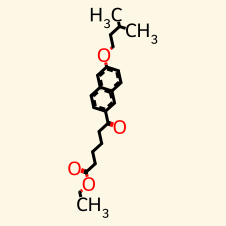 CCOC(=O)CCCCC(=O)c1ccc2cc(OCCC(C)C)ccc2c1